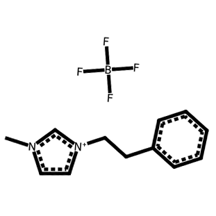 Cn1cc[n+](CCc2ccccc2)c1.F[B-](F)(F)F